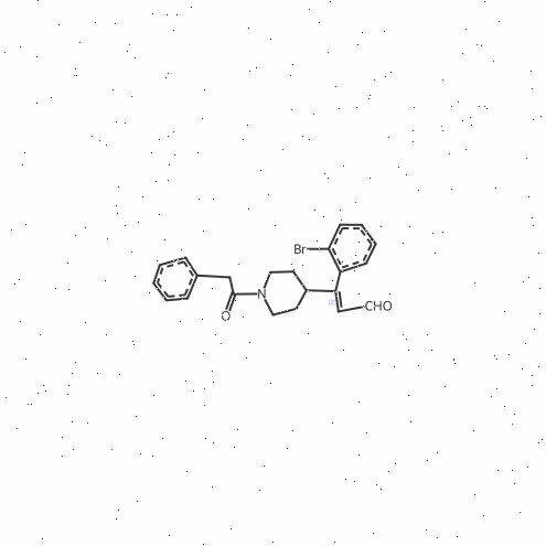 O=C/C=C(\c1ccccc1Br)C1CCN(C(=O)Cc2ccccc2)CC1